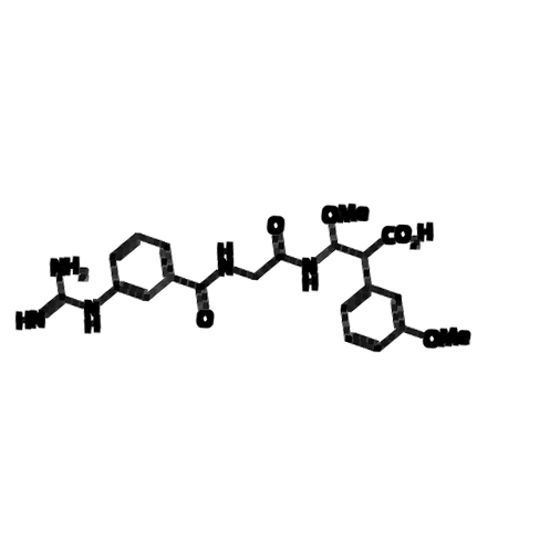 COc1cccc(C(C(=O)O)C(NC(=O)CNC(=O)c2cccc(NC(=N)N)c2)OC)c1